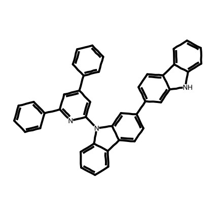 c1ccc(-c2cc(-c3ccccc3)nc(-n3c4ccccc4c4ccc(-c5ccc6c(c5)[nH]c5ccccc56)cc43)c2)cc1